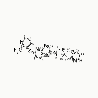 FC(F)(F)c1ncccc1Sc1ccc2nc(N3CCC4(CC3)Cc3cccnc3C4)cnc2n1